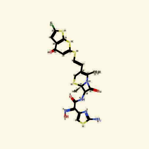 Nc1nc(/C(=N\O)C(=O)NC2C(=O)N3C(C(=O)O)=C(/C=C/Sc4cc(=O)c5cc(Cl)sc5s4)CS[C@H]23)cs1